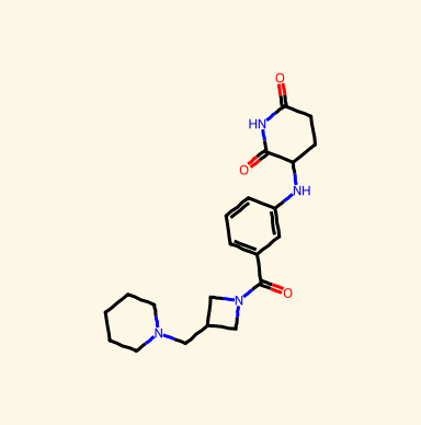 O=C1CCC(Nc2cccc(C(=O)N3CC(CN4CCCCC4)C3)c2)C(=O)N1